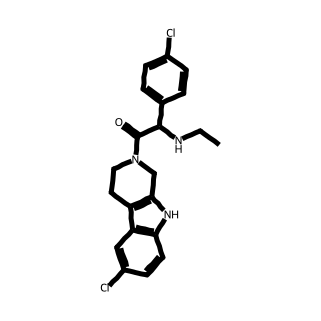 CCNC(C(=O)N1CCc2c([nH]c3ccc(Cl)cc23)C1)c1ccc(Cl)cc1